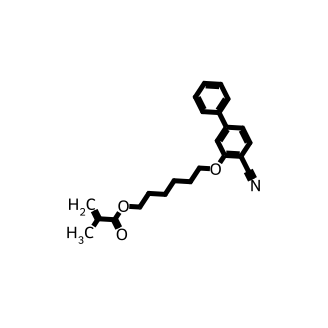 C=C(C)C(=O)OCCCCCCOc1cc(-c2ccccc2)ccc1C#N